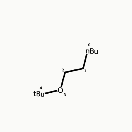 CCCCCCOC(C)(C)C